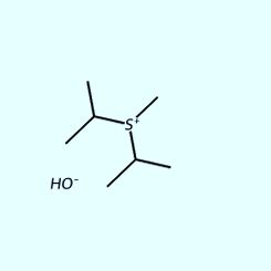 CC(C)[S+](C)C(C)C.[OH-]